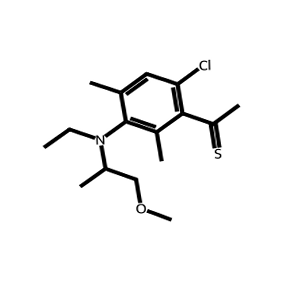 CCN(c1c(C)cc(Cl)c(C(C)=S)c1C)C(C)COC